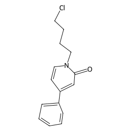 O=c1cc(-c2ccccc2)ccn1CCCCCl